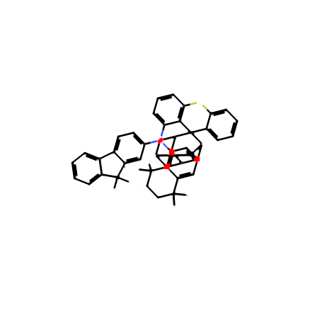 CC1(C)CCC(C)(C)c2c(N(c3ccc4c(c3)C(C)(C)c3ccccc3-4)c3cccc4c3C3(c5ccccc5S4)C4CC5CC(C4)CC3C5)cccc21